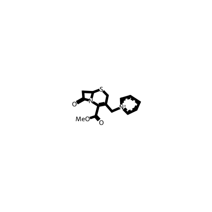 COC(=O)C1=C(C[n+]2ccccc2)CSC2CC(=O)N12